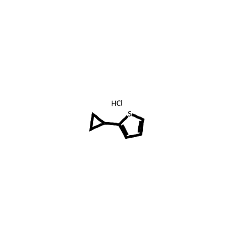 Cl.c1csc(C2CC2)c1